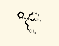 CCCCN(P(CC)CC)P1CCCC1